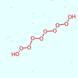 OOOOOOOOOO